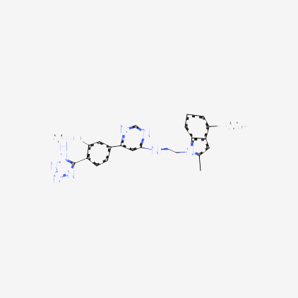 COc1cc(-c2cc(NCCn3c(C)cc4c(OC)cccc43)ncn2)ccc1-c1nnn[nH]1